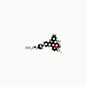 CCOC(=O)COc1cnc(N2CCC(c3nc4c(c(C5CCC(F)(F)CC5)c3C(F)c3ccc(C(F)(F)F)cc3)[C@@H](O)CC(C)(C)C4)CC2)nc1